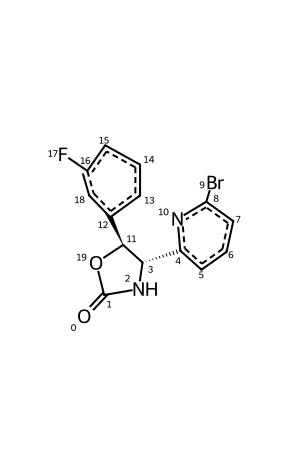 O=C1N[C@@H](c2cccc(Br)n2)[C@H](c2cccc(F)c2)O1